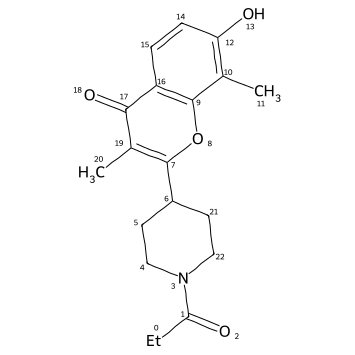 CCC(=O)N1CCC(c2oc3c(C)c(O)ccc3c(=O)c2C)CC1